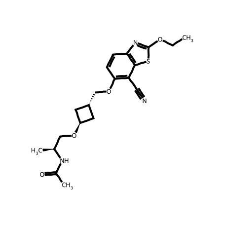 CCOc1nc2ccc(OC[C@H]3C[C@H](OC[C@H](C)NC(C)=O)C3)c(C#N)c2s1